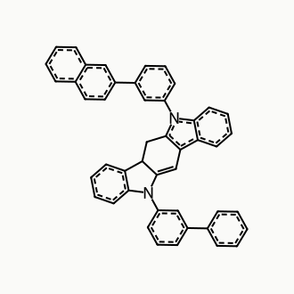 C1=C2C(Cc3c1c1ccccc1n3-c1cccc(-c3ccc4ccccc4c3)c1)c1ccccc1N2c1cccc(-c2ccccc2)c1